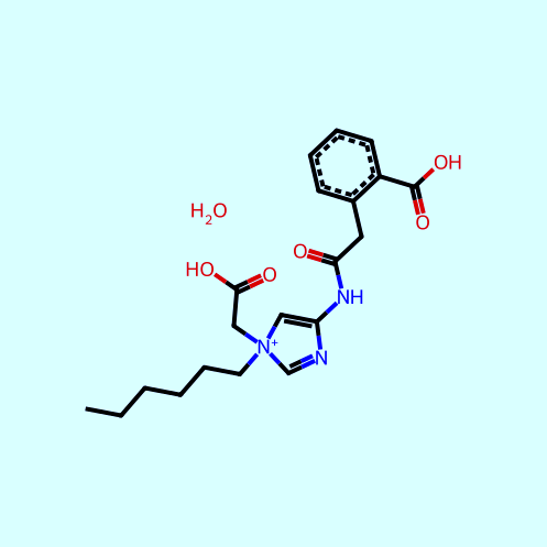 CCCCCC[N+]1(CC(=O)O)C=NC(NC(=O)Cc2ccccc2C(=O)O)=C1.O